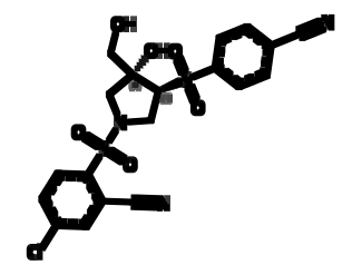 N#Cc1ccc(S(=O)(=O)[C@H]2CN(S(=O)(=O)c3ccc(Cl)cc3C#N)C[C@@]2(O)CO)cc1